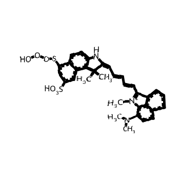 CN(C)c1ccc2cccc3c2c1[N+](C)=C3/C=C/C=C/C=C1/Nc2ccc3c(SOOO)cc(S(=O)(=O)O)cc3c2C1(C)C